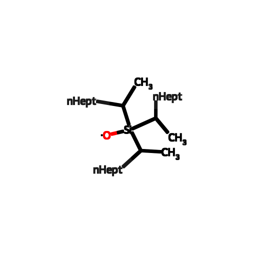 CCCCCCCC(C)[Si]([O])(C(C)CCCCCCC)C(C)CCCCCCC